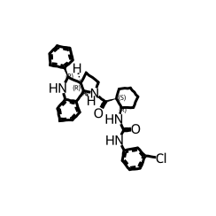 O=C(Nc1cccc(Cl)c1)N[C@@H]1CCCC[C@@H]1C(=O)N1CC[C@@H]2[C@H](c3ccccc3)Nc3ccccc3[C@@H]21